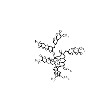 CCC(CCC(=O)C(CC(C=O)CC(C=O)CC(C)C=O)CC(C=O)CC(C=O)CC(C)C=O)(COC(=O)C(CC(C=O)CC(C=O)CC(C)C=O)CC(C=O)CC(C=O)CC(C)C=O)COC(=O)C(CC(C=O)CC(C=O)CC(C)C=O)CC(CC(CC(C)OC)OC)OC